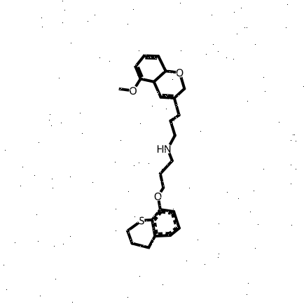 COC1=CC=CC2OCC(CCCNCCCOc3cccc4c3SCCC4)=CC12